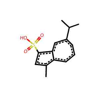 Cc1cc(S(=O)(=O)O)c2cc(C(C)C)cccc1-2